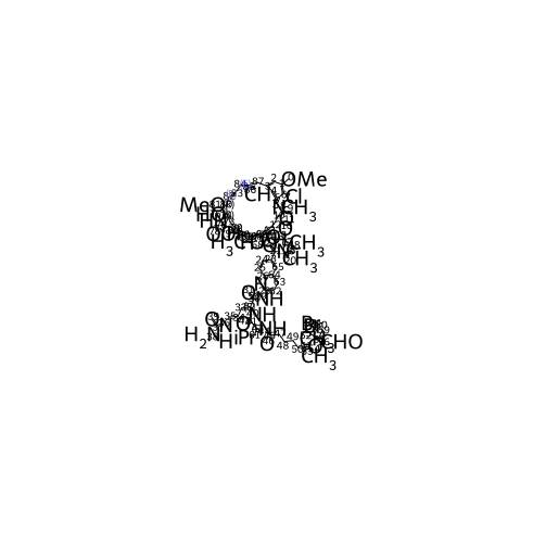 COc1cc2cc(c1Cl)N(C)C(=O)C[C@H](OC(=O)[C@H](C)N(C)C(=O)c1ccc3nc(NC(=O)[C@H](CCCNC(N)=O)NC(=O)[C@@H](NC(=O)CCCCC(C)(C)OC(C=O)(CBr)CBr)C(C)C)ccc3c1)[C@]1(C)O[C@H]1[C@H](C)[C@@H]1C[C@@](O)(NC(=O)O1)[C@H](OC)/C=C/C=C(\C)C2